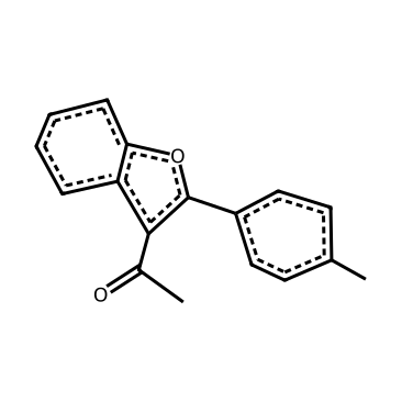 CC(=O)c1c(-c2ccc(C)cc2)oc2ccccc12